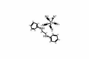 N#[C][Fe]([C]#N)([C]#N)([C]#N)[C]#N.c1ccc(NCCNc2ccccc2)cc1